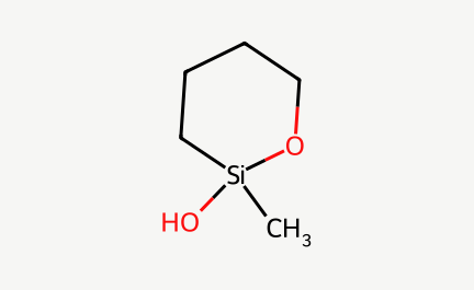 C[Si]1(O)CCCCO1